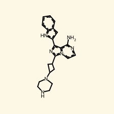 Nc1nccn2c(C3CC(N4CCNCC4)C3)nc(-c3cc4ccccc4[nH]3)c12